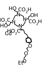 CCOCCOCCOc1ccc(CCC[C@@H](C(=O)O)N2CCN(C(CO)C(=O)O)CCN(C(CO)C(=O)O)CCN(C(CO)C(=O)O)CC2)cc1.[Gd]